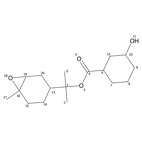 CC(C)(OC(=O)C1CCCC(O)C1)C1CCC2(C)OC2C1